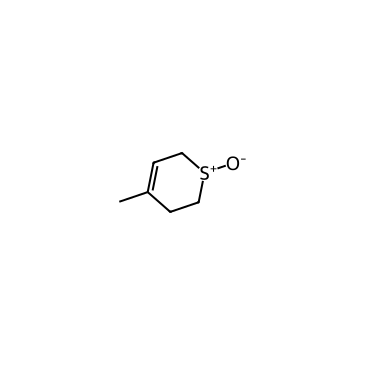 CC1=CC[S+]([O-])CC1